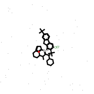 CC([C](C(C)C1CCCCC1)=[Zr+2]([C]1=CC=CC1)[c]1c(C(C)(C)C)ccc2c1Cc1cc(C(C)(C)C)ccc1-2)C1CCCCC1.[Cl-].[Cl-]